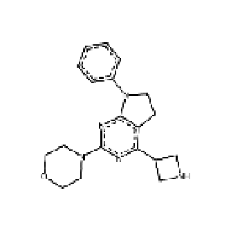 c1ccc(N2CCc3c(C4CNC4)nc(N4CCOCC4)nc32)cc1